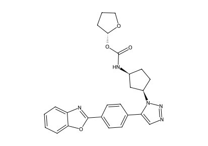 O=C(N[C@H]1CC[C@@H](n2nncc2-c2ccc(-c3nc4ccccc4o3)cc2)C1)O[C@@H]1CCCO1